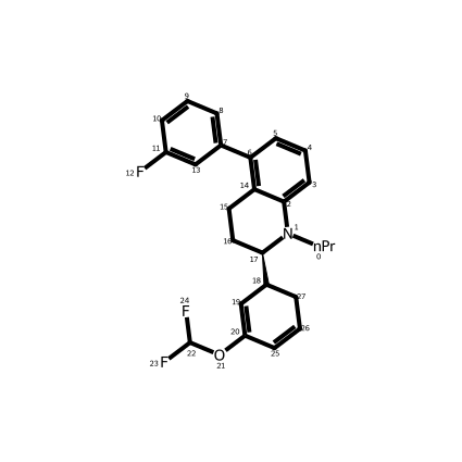 CCCN1c2cccc(-c3cccc(F)c3)c2CC[C@@H]1C1C=C(OC(F)F)C=CC1